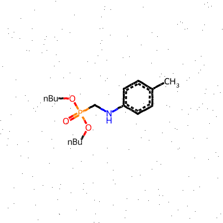 CCCCOP(=O)(CNc1ccc(C)cc1)OCCCC